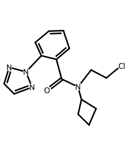 O=C(c1ccccc1-n1nccn1)N(CCCl)C1CCC1